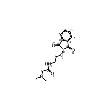 CN(C)CC(=O)NCCON1C(=O)c2ccccc2C1=O